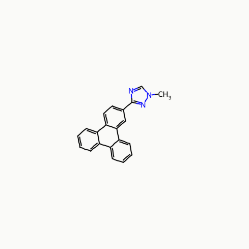 Cn1cnc(-c2ccc3c4ccccc4c4ccccc4c3c2)n1